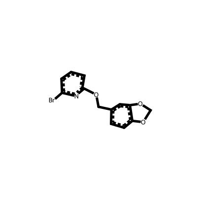 Brc1cccc(OCc2ccc3c(c2)OCO3)n1